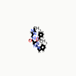 Cc1cnc(CNC(=O)c2cnc(N3CCc4ccccc43)nc2O[C@@H](C)c2ccccc2)cn1